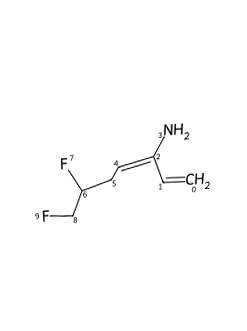 C=C/C(N)=C\CC(F)CF